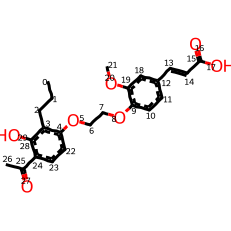 CCCc1c(OCCOc2ccc(/C=C/C(=O)O)cc2OC)ccc(C(C)=O)c1O